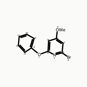 COc1cc(Br)nc(Oc2ccccc2)c1